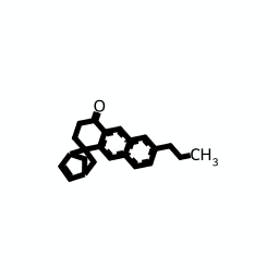 CCCc1ccc2cc3c(cc2c1)C(=O)CCC31CC2C=CC1C2